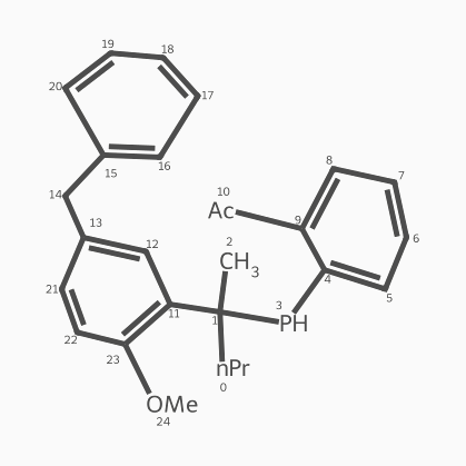 CCCC(C)(Pc1ccccc1C(C)=O)c1cc(Cc2ccccc2)ccc1OC